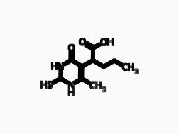 CCCC(C(=O)O)C1=C(C)NC(S)NC1=O